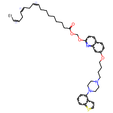 CC/C=C\C/C=C\C/C=C\CCCCCCCC(=O)OCOc1ccc2ccc(OCCCCN3CCN(c4cccc5sccc45)CC3)cc2n1